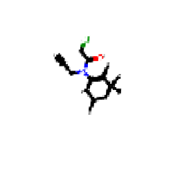 C#CCN(C(=O)CCl)C1=C(C)C(C)(C)CC(C)C1